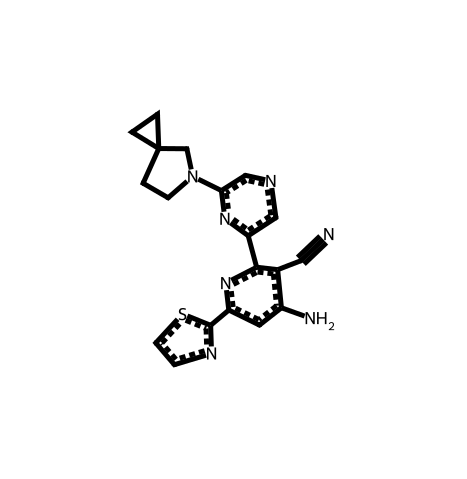 N#Cc1c(N)cc(-c2nccs2)nc1-c1cncc(N2CCC3(CC3)C2)n1